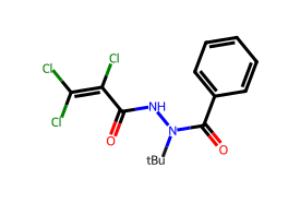 CC(C)(C)N(NC(=O)C(Cl)=C(Cl)Cl)C(=O)c1ccccc1